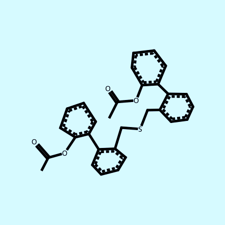 CC(=O)Oc1ccccc1-c1ccccc1CSCc1ccccc1-c1ccccc1OC(C)=O